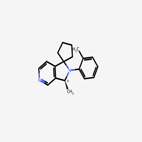 Cc1ccccc1N1[C@@H](C)c2cnccc2C12CCCC2